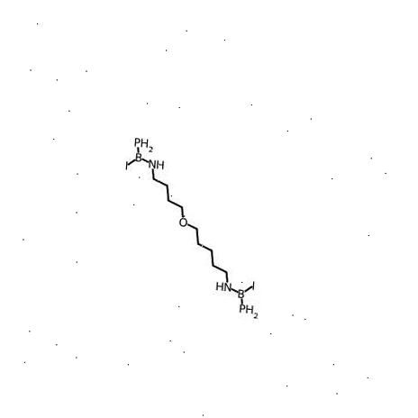 PB(I)NCCCCCOCCCCNB(P)I